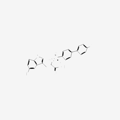 O=C(O)[C@H](Cc1c[nH]c2ccc(F)cc12)NS(=O)(=O)c1ccc(-c2ccc(Cl)cc2)cc1